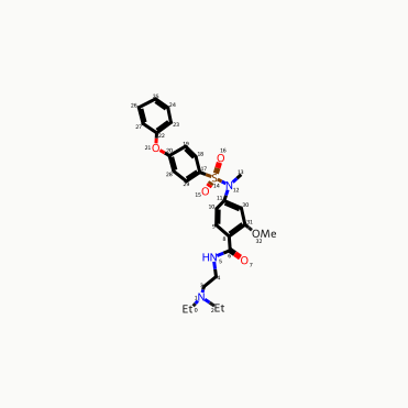 CCN(CC)CCNC(=O)c1ccc(N(C)S(=O)(=O)c2ccc(Oc3ccccc3)cc2)cc1OC